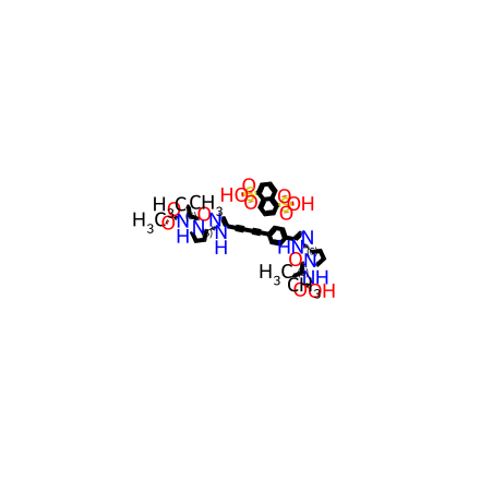 COC(=O)N[C@H](C(=O)N1CCC[C@H]1c1ncc(C#CC#Cc2ccc(-c3cnc([C@@H]4CCCN4C(=O)[C@@H](NC(=O)O)C(C)C)[nH]3)cc2)[nH]1)C(C)C.O=S(=O)(O)c1cccc2c(S(=O)(=O)O)cccc12